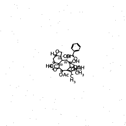 CC(=O)O[C@H]1C(=O)[C@@]2(C)C([C@H](OC(=O)c3ccccc3)[C@]3(O)C[C@@](C)(O)C(C)=C1C3(C)C)[C@]1(O)CO[C@@H]1C[C@@H]2O